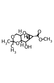 COC(=O)[C@@H]1[C@H]2O[C@@H]3COC(C)(C)O[C@H]3[C@H](O)[C@H]21